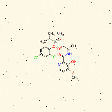 COc1ccnc(C(=O)N[C@@H](C)C(=O)O[C@@H](C)[C@H](Oc2ccc(Cl)cc2Cl)C(C)C)c1O